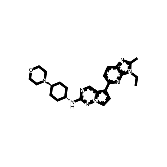 CCn1c(C)nc2ccc(-c3ccn4nc(N[C@H]5CC[C@H](N6CCOCC6)CC5)ncc34)nc21